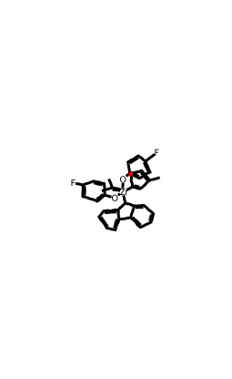 CC1=CC[C]([Zr]([O]c2ccc(F)cc2)([O]c2ccc(F)cc2)(=[C](C)C)[CH]2c3ccccc3-c3ccccc32)=C1